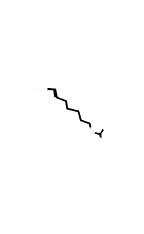 CCCCCCCC=CCCCCCOC(C)C(=O)O